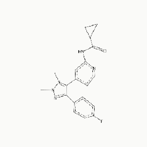 CN1N=C(c2ccc(F)cc2)C(c2ccnc(NC(=O)C3CC3)c2)=S1C